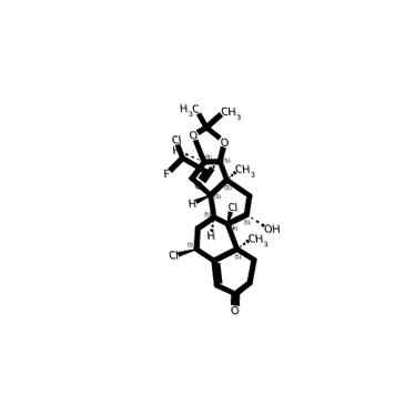 CC1(C)O[C@@H]2C[C@H]3[C@@H]4C[C@H](Cl)C5=CC(=O)CC[C@]5(C)[C@@]4(Cl)[C@@H](O)C[C@]3(C)[C@]2(C(=O)C(F)Cl)O1